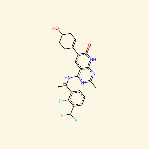 Cc1nc(N[C@H](C)c2cccc(C(F)F)c2F)c2cc(C3=CCC(O)CC3)c(=O)[nH]c2n1